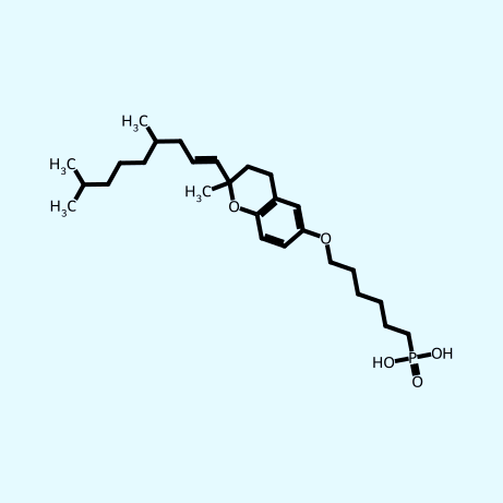 CC(C)CCCC(C)C/C=C/C1(C)CCc2cc(OCCCCCCP(=O)(O)O)ccc2O1